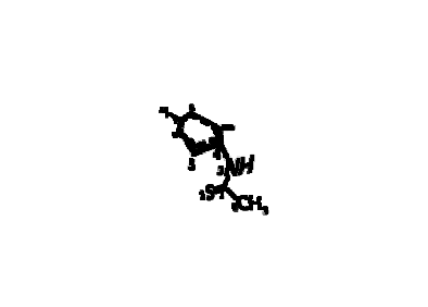 CC(=S)Nc1ccc(I)cc1